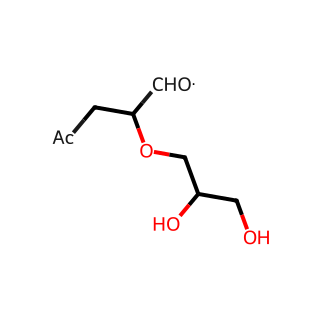 CC(=O)CC([C]=O)OCC(O)CO